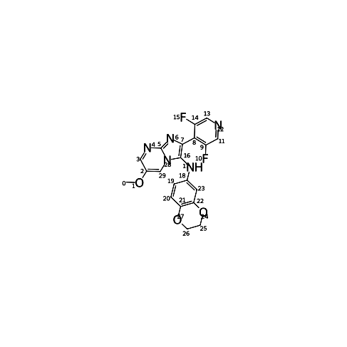 COc1cnc2nc(-c3c(F)cncc3F)c(Nc3ccc4c(c3)OCCO4)n2c1